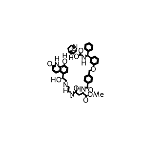 COC(=O)C(CC(=O)N(C)CCNC[C@@H](O)c1ccc(O)c2[nH]c(=O)ccc12)NC(=O)c1ccc(COc2cccc(C(NC(=O)O[C@H]3CN4CCC3CC4)c3ccccc3)c2)cc1